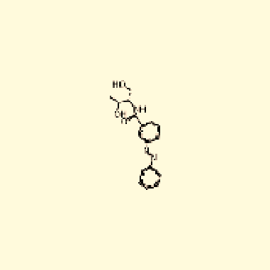 C[C@H](O)[C@H](CO)NC(=O)c1cccc(/N=N/c2ccccc2)c1